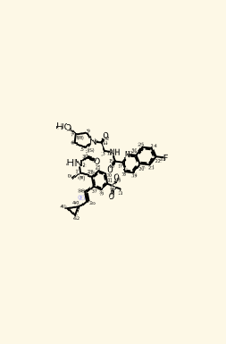 C[C@@H](NC(=O)[C@@H]1C[C@@H](O)CN1C(=O)CNC(=O)c1ccc2cc(F)ccc2n1)c1ccc(S(C)(=O)=O)cc1/C=C/C1CC1